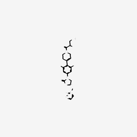 O=C(C(O)CO)N1CC=C(c2c(F)cc(N3C[C@H](Cn4ccnn4)OC3=O)cc2F)CC1